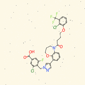 O=C(O)c1cc(F)c(Cn2cc(-c3cccc4c3OCCCN4C(=O)CCCOc3cccc(C(F)(F)F)c3Cl)cn2)c(Cl)c1